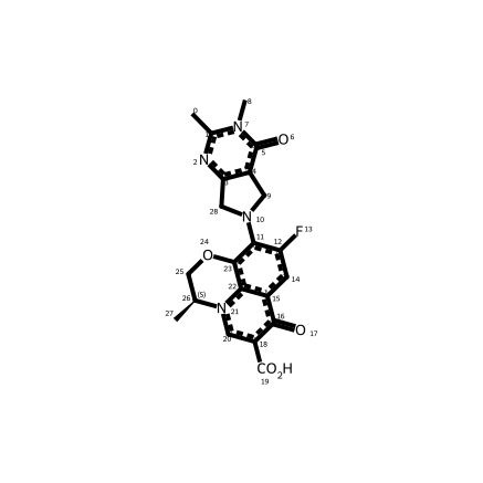 Cc1nc2c(c(=O)n1C)CN(c1c(F)cc3c(=O)c(C(=O)O)cn4c3c1OC[C@@H]4C)C2